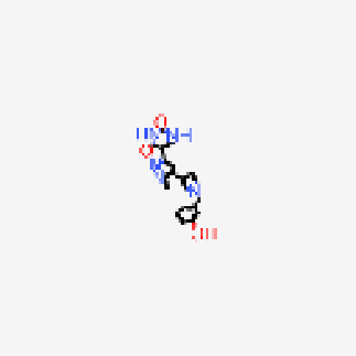 Cc1nnc(-c2c[nH]c(=O)[nH]c2=O)cc1-c1ccn(Cc2cccc(O)c2)c1